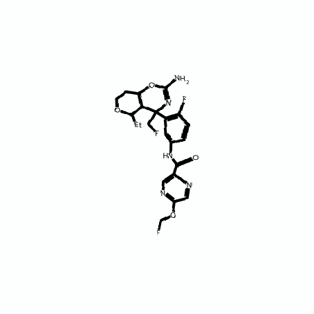 CCC1OCCC2OC(N)=NC(CF)(c3cc(NC(=O)c4cnc(OCF)cn4)ccc3F)C12